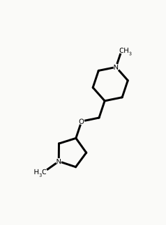 CN1CCC(COC2CCN(C)C2)CC1